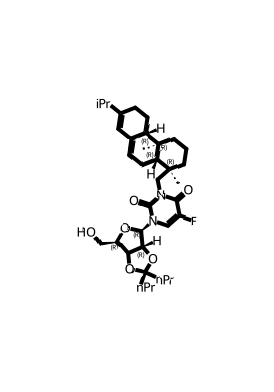 CCCC1(CCC)OC2[C@@H](O1)[C@H](n1cc(F)c(=O)n(C[C@]3(C)CCC[C@]4(C)[C@H]5CCC(C(C)C)=CC5=CC[C@@H]34)c1=O)O[C@@H]2CO